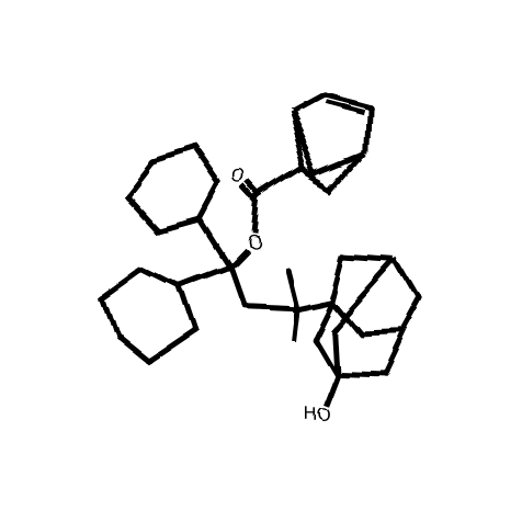 CC(C)(CC(OC(=O)C1CC2C=CC1C2)(C1CCCCC1)C1CCCCC1)C12CC3CC(CC(O)(C3)C1)C2